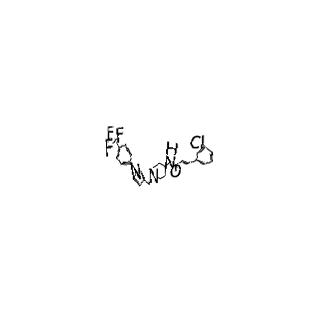 O=C(C=Cc1cccc(Cl)c1)NC1CCN(Cc2ccn(-c3ccc(C(F)(F)F)cc3)c2)CC1